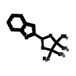 CC1(C)OB(c2cc3ccccc3o2)OC1(C)C